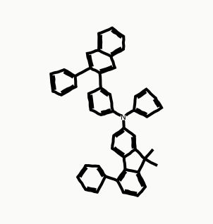 CC1(C)c2cc(N(c3ccccc3)c3cccc(-c4cc5ccccc5cc4-c4ccccc4)c3)ccc2-c2c(-c3ccccc3)cccc21